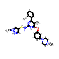 Cc1ccccc1-c1nc(NSc2cnn(C)c2)nc(Oc2cccc(N3CCN(C)CC3)c2)c1C(C)(C)C